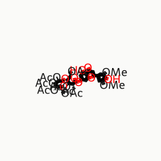 COc1cc(-c2cc(=O)c3c(O)cc(OC4O[C@H](COC(C)=O)[C@@H](OC5O[C@H](COC(C)=O)[C@H](OC(C)=O)[C@H](OC(C)=O)[C@H]5OC(C)=O)[C@H](OC(C)=O)[C@H]4CC(C)=O)cc3o2)cc(OC)c1O